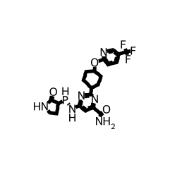 NC(=O)c1cc(NPC2CCNC2=O)nc(C2CCC(Oc3ccc(C(F)(F)F)cn3)CC2)n1